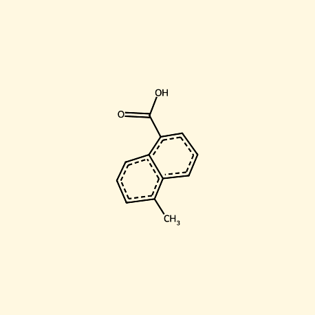 Cc1cccc2c(C(=O)O)cccc12